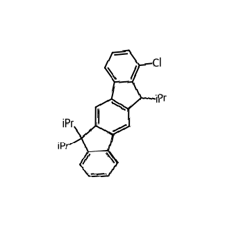 CC(C)C1c2cc3c(cc2-c2cccc(Cl)c21)C(C(C)C)(C(C)C)c1ccccc1-3